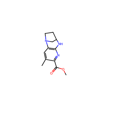 COC(=O)c1nc2c(cc1C)N1CCC(C1)N2